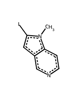 Cn1c(I)cc2cnccc21